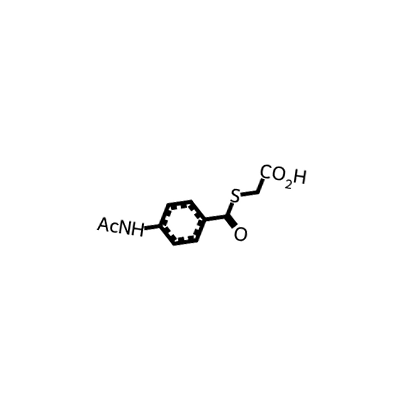 CC(=O)Nc1ccc(C(=O)SCC(=O)O)cc1